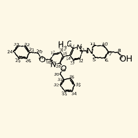 Cc1nc(N2CCC(CO)CC2)ccc1-c1ccc(OCc2ccccc2)nc1OCc1ccccc1